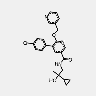 CC(O)(CNC(=O)c1cnc(OCc2cccnc2)c(-c2ccc(Cl)cc2)c1)C1CC1